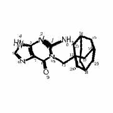 Nc1nc2[nH]cnc2c(=O)n1CC12CC3CC(CC(C3)C1)C2